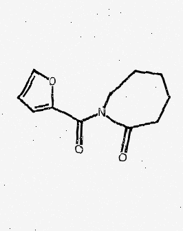 O=C1CCCCCN1C(=O)c1ccco1